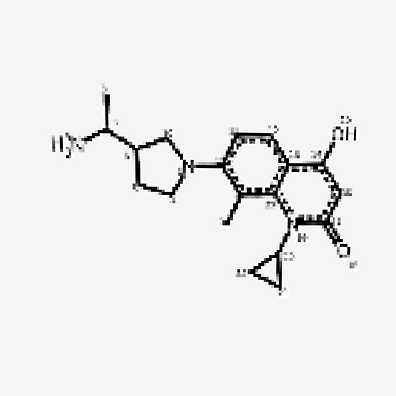 Cc1c(N2CCC([C@H](C)N)C2)ccc2c(O)cc(=O)n(C3CC3)c12